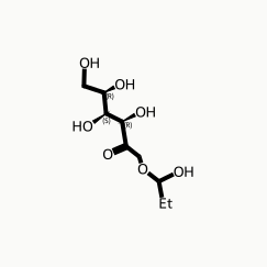 CCC(O)OCC(=O)[C@H](O)[C@@H](O)[C@H](O)CO